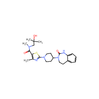 Cc1nc(N2CCC(N3CCc4ccccc4NC3=O)CC2)sc1C(=O)N(C)CC(C)(C)O